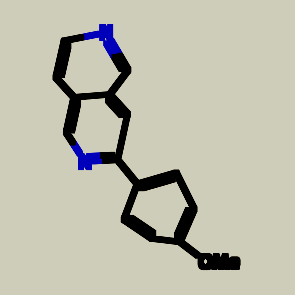 COc1ccc(-c2cc3cnccc3cn2)cc1